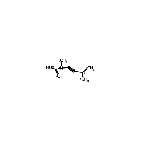 CC(C)C#CN(C)C(=O)O